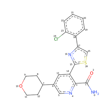 NC(=O)c1ncc(C2CCOCC2)cc1-c1nc(-c2ccccc2Cl)cs1